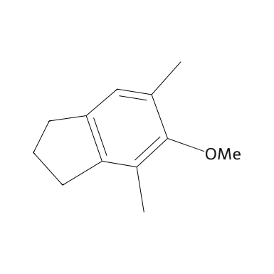 COc1c(C)cc2c(c1C)CCC2